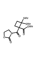 COC(=O)C1(C(=O)N2CCOC2=O)CCC1(SC)SC